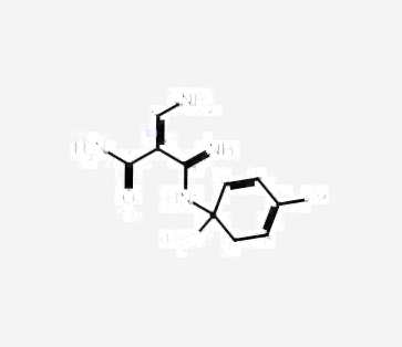 CC1(NC(=N)/C(=C\N)C(N)=O)C=CC(F)=CC1